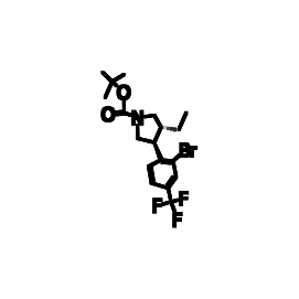 CC[C@H]1CN(C(=O)OC(C)(C)C)C[C@@H]1c1ccc(C(F)(F)F)cc1Br